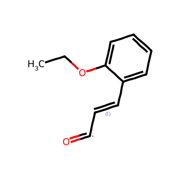 CCOc1ccccc1/C=C/[C]=O